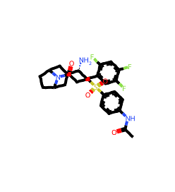 CC(=O)Nc1ccc(S(=O)(=O)CCC(=O)N2C3CCC2CC([C@H](N)Cc2cc(F)c(F)cc2F)C3)cc1